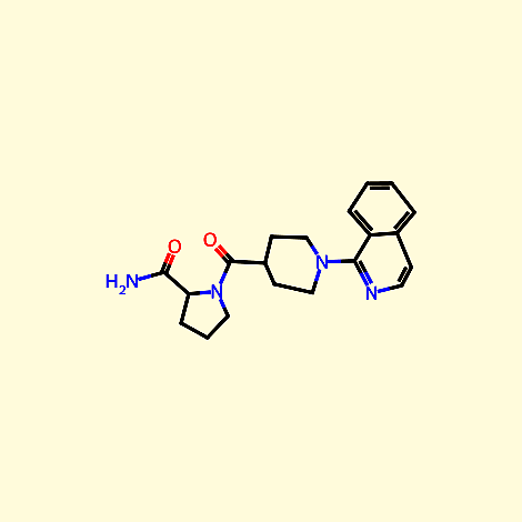 NC(=O)C1CCCN1C(=O)C1CCN(c2nccc3ccccc23)CC1